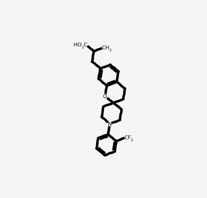 CC(Cc1ccc2c(c1)OC1(CC2)CCN(c2ccccc2C(F)(F)F)CC1)C(=O)O